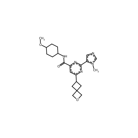 COC1CCC(NC(=O)c2cc(C3CC4(COC4)C3)nc(-c3cncn3C)n2)CC1